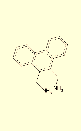 NCc1c(CN)c2ccccc2c2ccccc12